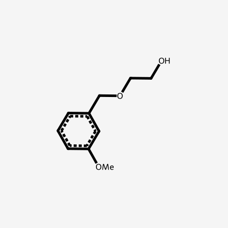 COc1cccc(COCCO)c1